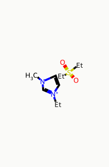 CCS(=O)(=O)CC.CC[n+]1ccn(C)c1